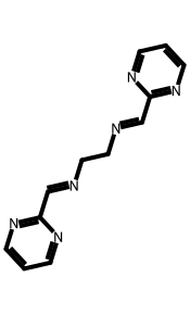 C(=NCCN=Cc1ncccn1)c1ncccn1